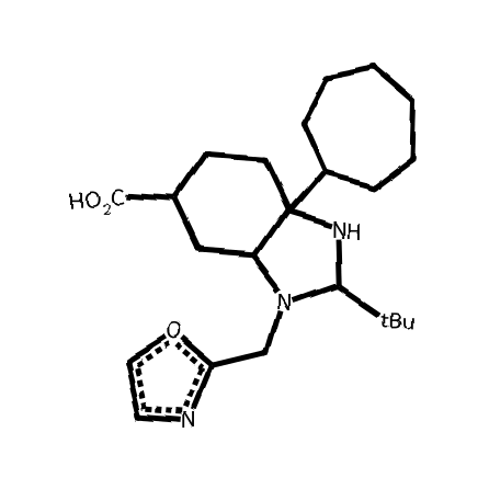 CC(C)(C)C1NC2(C3CCCCCC3)CCC(C(=O)O)CC2N1Cc1ncco1